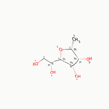 C[C@H]1O[C@@H]([C@H](O)CO)[C@@H](O)[C@H]1O